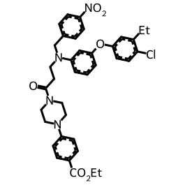 CCOC(=O)c1ccc(N2CCN(C(=O)CCN(Cc3ccc([N+](=O)[O-])cc3)c3cccc(Oc4ccc(Cl)c(CC)c4)c3)CC2)cc1